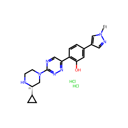 CCn1cc(-c2ccc(-c3cnc(N4CCN[C@@H](C5CC5)C4)nn3)c(O)c2)cn1.Cl.Cl